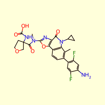 Cc1c(-c2cc(F)c(N)cc2F)ccc2c3oc(N(C)C(=O)C4(NC(=O)O)CCOC4)nc3c(=O)n(C3CC3)c12